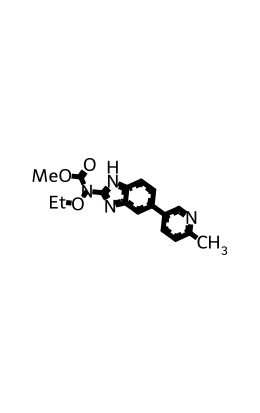 CCON(C(=O)OC)c1nc2cc(-c3ccc(C)nc3)ccc2[nH]1